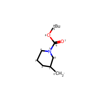 [CH2]C1CCCN(C(=O)OC(C)(C)C)C1